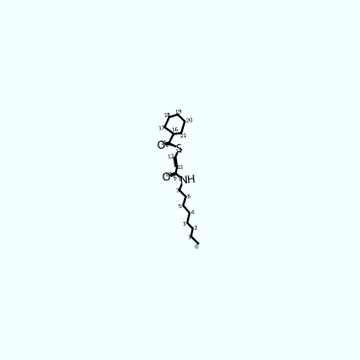 CCCCCCCCNC(=O)C=CSC(=O)C1CCCCC1